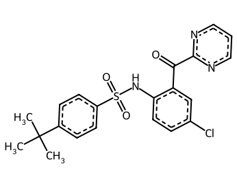 CC(C)(C)c1ccc(S(=O)(=O)Nc2ccc(Cl)cc2C(=O)c2ncccn2)cc1